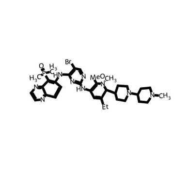 CCC1=CC(Nc2ncc(Br)c(Nc3ccc4nccnc4c3P(C)(C)=O)n2)=C(OC)N(C)C1C1CCN(C2CCN(C)CC2)CC1